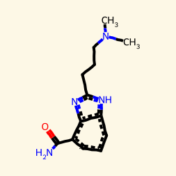 CN(C)CCCc1nc2c(C(N)=O)[c]ccc2[nH]1